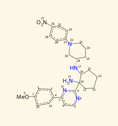 COc1ccc(-c2ccnc(C3(N)CCCCC3N[C@H]3CCCN(c4ccc([N+](=O)[O-])cc4)C3)n2)cc1